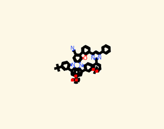 CC(C)(C)c1ccc2c(c1)c1cc(C(C)(C)C)ccc1n2-c1cc(C#N)c2c(oc3c(-c4cc(-c5ccccc5)nc(-c5ccccc5)n4)cccc32)c1-n1c2ccc(C(C)(C)C)cc2c2cc(C(C)(C)C)ccc21